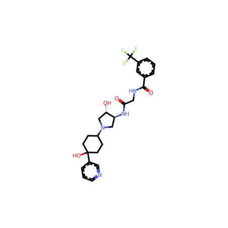 O=C(CNC(=O)c1cccc(C(F)(F)F)c1)N[C@H]1CN(C2CCC(O)(c3cccnc3)CC2)C[C@@H]1O